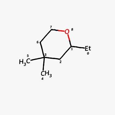 CCC1CC(C)(C)CCO1